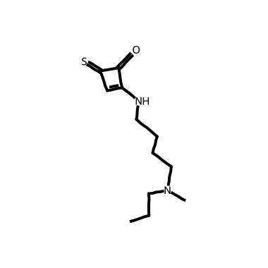 CCCN(C)CCCCNc1cc(=S)c1=O